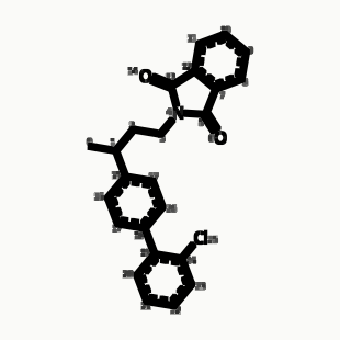 CC(CCN1C(=O)c2ccccc2C1=O)c1ccc(-c2ccccc2Cl)cc1